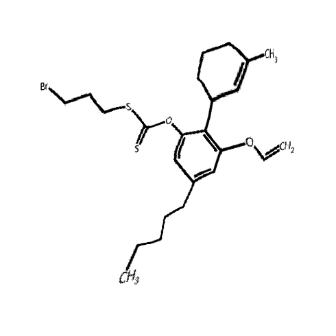 C=COc1cc(CCCCC)cc(OC(=S)SCCCBr)c1C1C=C(C)CCC1